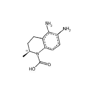 C[C@H]1CCc2c(ccc(N)c2N)N1C(=O)O